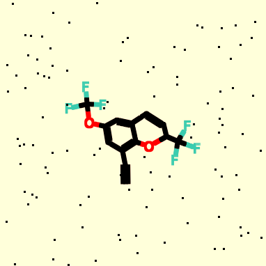 C#Cc1cc(OC(F)(F)F)cc2c1OC(C(F)(F)F)C=C2